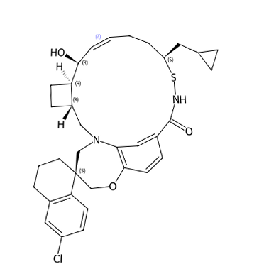 O=C1NS[C@H](CC2CC2)CC/C=C\[C@H](O)[C@@H]2CC[C@H]2CN2C[C@@]3(CCCc4cc(Cl)ccc43)COc3ccc1cc32